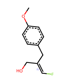 COc1ccc(C/C(=C\F)CO)cc1